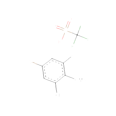 COc1c(C)cc(S)cc1C.O=S(=O)(O)C(F)(F)F